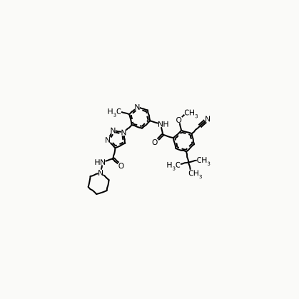 COc1c(C#N)cc(C(C)(C)C)cc1C(=O)Nc1cnc(C)c(-n2cc(C(=O)NN3CCCCC3)nn2)c1